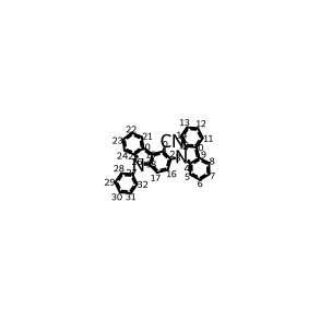 N#Cc1c(-n2c3ccccc3c3ccccc32)ccc2c1c1ccccc1n2-c1ccccc1